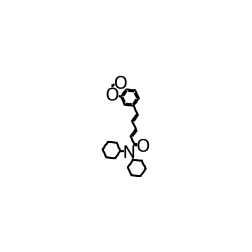 O=C(C=CC=Cc1ccc2c(c1)OCO2)N(C1CCCCC1)C1CCCCC1